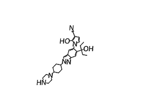 CCC(O)(CC)c1cc2nn(C3CCC(N4CCNCC4)CC3)cc2cc1-n1ccc(C#N)c1O